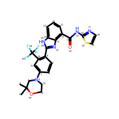 CC1(C)CN(c2ccc(-c3nc4c(C(=O)Nc5nccs5)cccc4[nH]3)c(C(F)(F)F)c2)CCO1